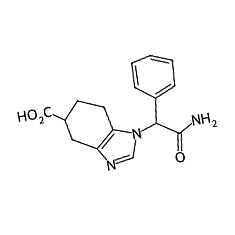 NC(=O)C(c1ccccc1)n1cnc2c1CCC(C(=O)O)C2